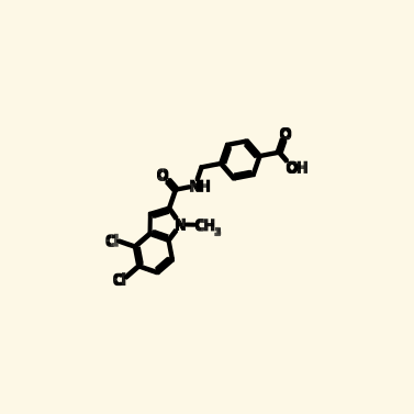 Cn1c(C(=O)NCc2ccc(C(=O)O)cc2)cc2c(Cl)c(Cl)ccc21